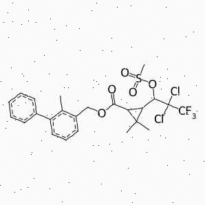 Cc1c(COC(=O)C2C(C(OS(C)(=O)=O)C(Cl)(Cl)C(F)(F)F)C2(C)C)cccc1-c1ccccc1